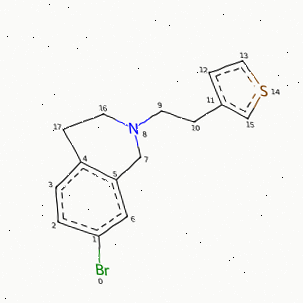 Brc1ccc2c(c1)CN(CCc1ccsc1)CC2